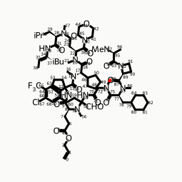 C=CCOC(=O)CC[C@@H](C(=O)NC1(C(=O)N(C)[C@H](C(=O)N(C)[C@@H](CC(=O)N(C)[C@H](CC(C)C)C(=O)N/C(=C/C)[C@@H](C)CC)C(=O)N2CCOCC2)C2CCCC2)CCCC1)N(C)C(C=O)(CCc1ccc(C(F)(F)F)c(Cl)c1)NC(=O)CN(C)C(=O)[C@H](CC1CCCCC1)N(C)C(=O)[C@@H]1CCN1C(=O)[C@H](C)NC